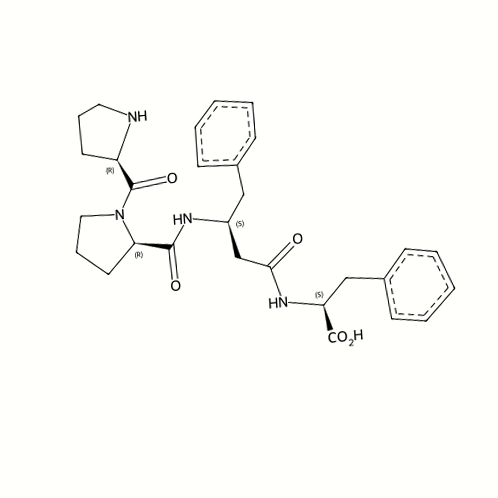 O=C(C[C@H](Cc1ccccc1)NC(=O)[C@H]1CCCN1C(=O)[C@H]1CCCN1)N[C@@H](Cc1ccccc1)C(=O)O